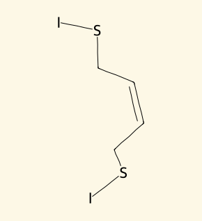 ISC/C=C\CSI